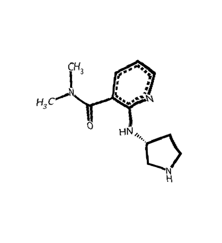 CN(C)C(=O)c1cccnc1N[C@@H]1CCNC1